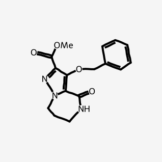 COC(=O)c1nn2c(c1OCc1ccccc1)C(=O)NCCC2